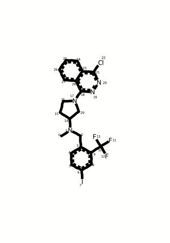 CN(Cc1ccc(I)cc1C(F)(F)F)C1CCN(c2nnc(Cl)c3ccccc23)C1